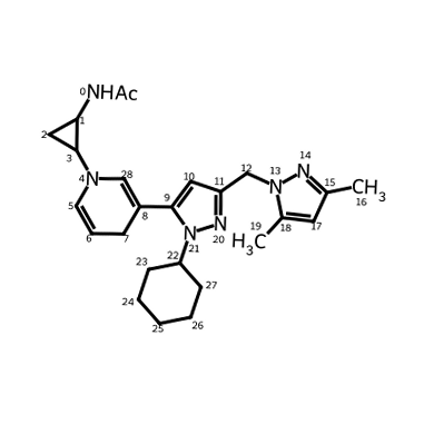 CC(=O)NC1CC1N1C=CCC(c2cc(Cn3nc(C)cc3C)nn2C2CCCCC2)=C1